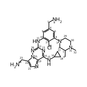 CC1CN(c2cc(CN)cc(Nc3nc(NC4CC4)c4ncc(CN)n4n3)c2Cl)CCN1C